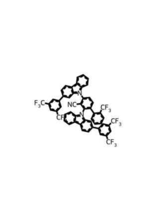 N#Cc1c(-n2c3ccccc3c3ccc(-c4cc(C(F)(F)F)cc(C(F)(F)F)c4)cc32)ccc(-c2ccccc2C(F)(F)F)c1-n1c2ccccc2c2ccc(-c3cc(C(F)(F)F)cc(C(F)(F)F)c3)cc21